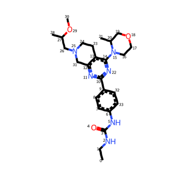 CCNC(=O)Nc1ccc(-c2nc3c(c(N4CCOCC4C)n2)CCN(CC(C)OC)C3)cc1